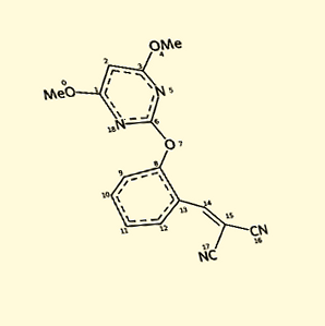 COc1cc(OC)nc(Oc2ccccc2C=C(C#N)C#N)n1